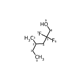 CCC(C)CC(F)(F)CO